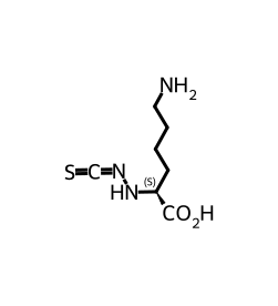 NCCCC[C@H](NN=C=S)C(=O)O